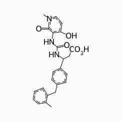 Cc1ccccc1Cc1ccc(C(CC(=O)O)NC(=O)Nc2c(O)ccn(C)c2=O)cc1